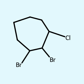 ClC1CCCCC(Br)C1Br